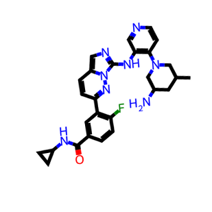 CC1CC(N)CN(c2ccncc2Nc2ncc3ccc(-c4cc(C(=O)NC5CC5)ccc4F)nn23)C1